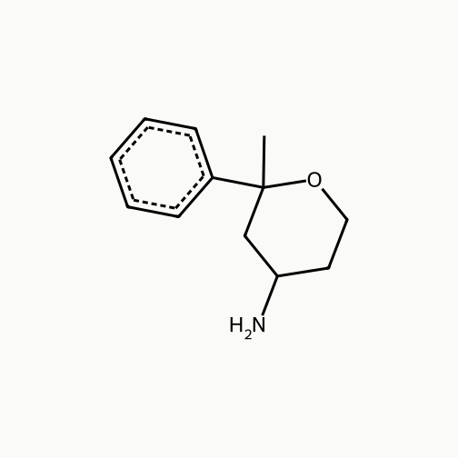 CC1(c2ccccc2)CC(N)CCO1